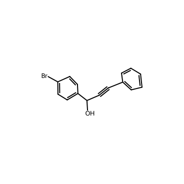 OC(C#Cc1ccccc1)c1ccc(Br)cc1